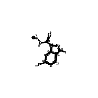 Cc1nn(C(=O)OC(C)(C)C)c2cc(F)ccc12